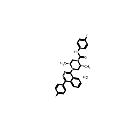 C[C@H]1CN(c2nnc(-c3ccc(F)cc3)c3ccccc23)[C@@H](C)CN1C(=O)Nc1ccc(F)cc1.Cl